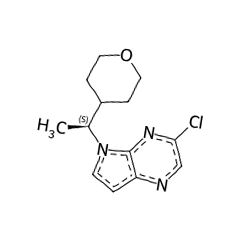 C[C@@H](C1CCOCC1)n1ccc2ncc(Cl)nc21